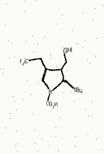 CC(C)(C)C1C(CO)C(CC(F)(F)F)CN1C(=O)O